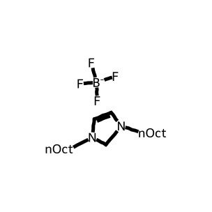 CCCCCCCCN1C=CN(CCCCCCCC)C1.F[B-](F)(F)F